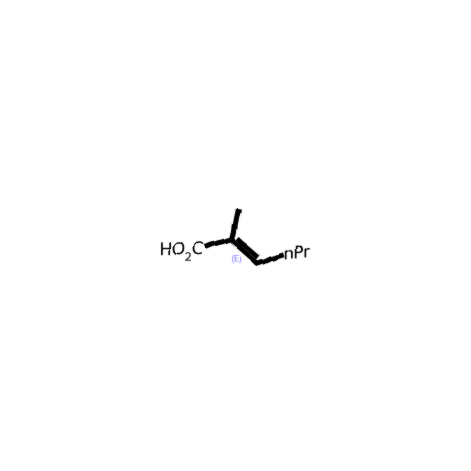 CCC/C=C(\C)C(=O)O